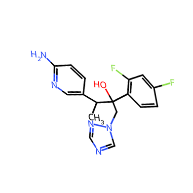 CC(c1ccc(N)nc1)C(O)(Cn1cncn1)c1ccc(F)cc1F